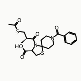 CC(=O)SC[C@H](C)C(=O)N1[C@H](C(=O)O)CSC12CCN(C(=O)c1ccccc1)CC2